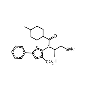 CSCC(C)N(C(=O)C1CCC(C)CC1)c1sc(-c2ccccc2)cc1C(=O)O